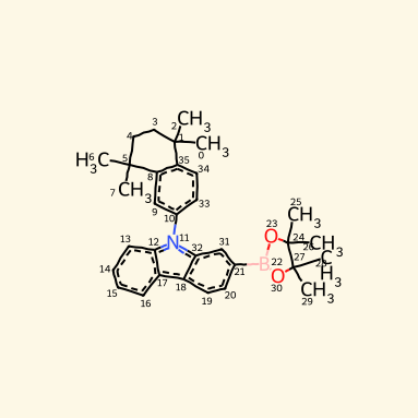 CC1(C)CCC(C)(C)c2cc(-n3c4ccccc4c4ccc(B5OC(C)(C)C(C)(C)O5)cc43)ccc21